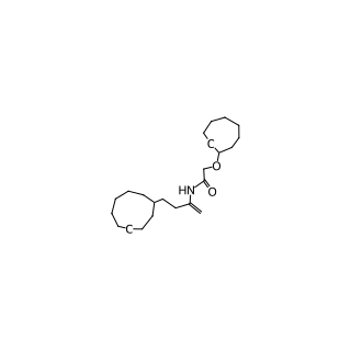 C=C(CCC1CCCCCCCC1)NC(=O)COC1CCCCCCC1